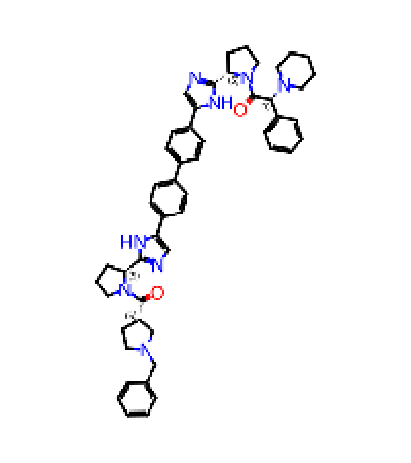 O=C([C@H]1CCN(Cc2ccccc2)C1)N1CCC[C@H]1c1ncc(-c2ccc(-c3ccc(-c4cnc([C@@H]5CCCN5C(=O)[C@@H](c5ccccc5)N5CCCCC5)[nH]4)cc3)cc2)[nH]1